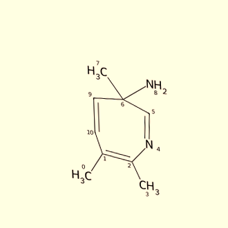 CC1=C(C)N=CC(C)(N)C=C1